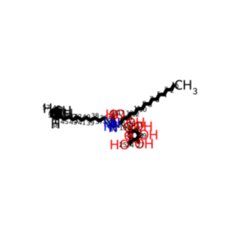 CCCCCCCCCCCCCC[C@@H](O)[C@@H](O)[C@H](COC1OC(CO)C(O)C(O)C1O)n1nnn(CCCCCCCCCCC2=CC[C@H]3C[C@@H]2C3(C)C)c1=O